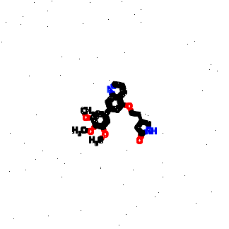 COc1cc(-c2cc(OCC[C@H]3CNC(=O)C3)c3cccnc3c2)cc(OC)c1OC